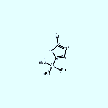 CCC[CH2][Sn]([CH2]CCC)([CH2]CCC)[c]1cnc(CC)s1